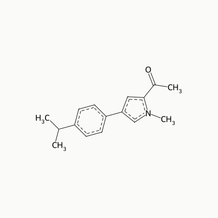 CC(=O)c1cc(-c2ccc(C(C)C)cc2)cn1C